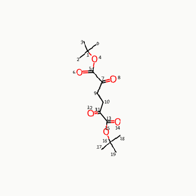 CC(C)(C)OC(=O)C(=O)CCC(=O)C(=O)OC(C)(C)C